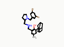 Cc1cc(CNCC2CCCN2Cc2cc(Br)cc(Br)c2)c(O)c(C23CC4CC(CC(C4)C2)C3)c1